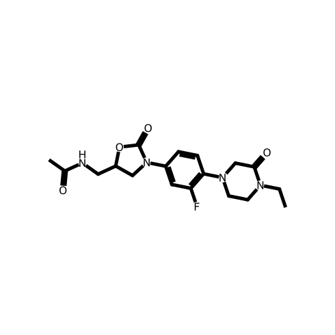 CCN1CCN(c2ccc(N3CC(CNC(C)=O)OC3=O)cc2F)CC1=O